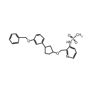 CS(=O)(=O)Nc1cccnc1COC1CCC(c2cccc(OCc3ccccc3)c2)C1